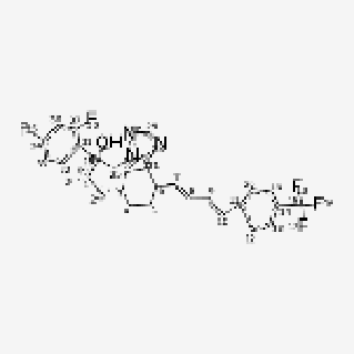 C[C@@H](S[C@H]1CC[C@H](C=CC=Cc2ccc(C(F)(F)F)cc2)CC1)[C@](O)(Cn1cncn1)c1ccc(F)cc1F